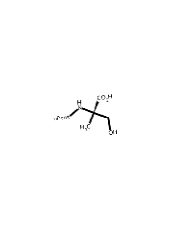 CCCCCN[C@@](C)(CO)C(=O)O